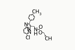 C#CCOC(=O)NCc1c(-c2ccc(C)cc2)nc2ccc(Cl)nn12